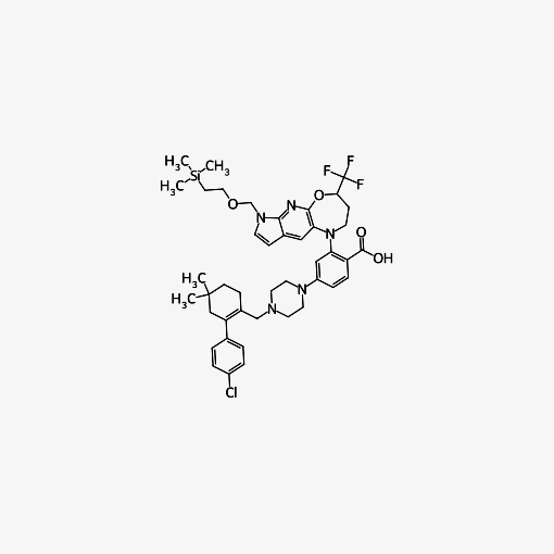 CC1(C)CCC(CN2CCN(c3ccc(C(=O)O)c(N4CCC(C(F)(F)F)Oc5nc6c(ccn6COCC[Si](C)(C)C)cc54)c3)CC2)=C(c2ccc(Cl)cc2)C1